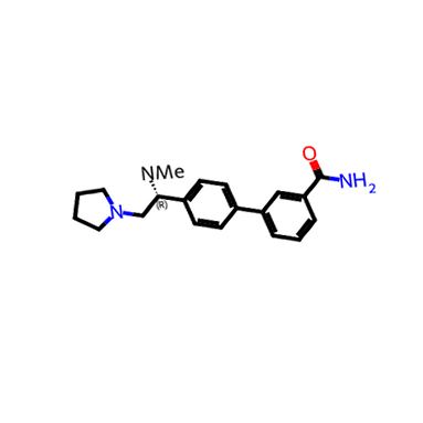 CN[C@@H](CN1CCCC1)c1ccc(-c2cccc(C(N)=O)c2)cc1